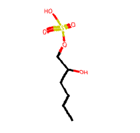 CCCCC(O)COS(=O)(=O)O